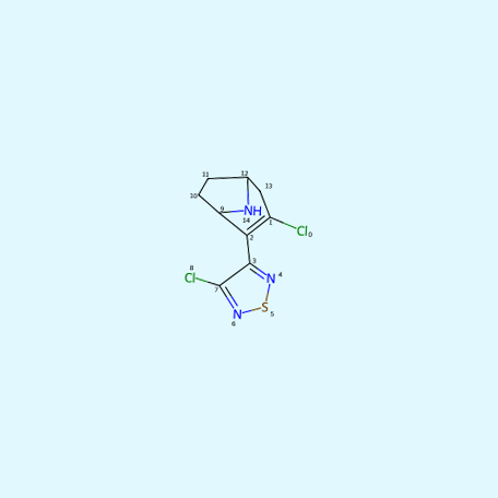 ClC1=C(c2nsnc2Cl)C2CCC(C1)N2